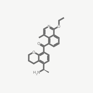 CCOc1ncc(C)c2c(C(=O)c3ccc([C@@H](C)N)c4c3OCCC4)cccc12